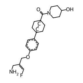 NCC(=CF)COc1ccc(C23CCC(C(=O)N4CCC(O)CC4)(CC2)CC3)cc1